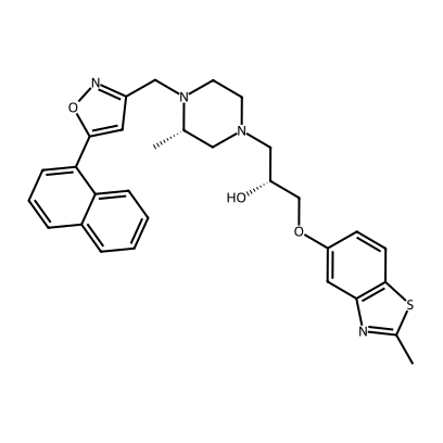 Cc1nc2cc(OC[C@H](O)CN3CCN(Cc4cc(-c5cccc6ccccc56)on4)[C@@H](C)C3)ccc2s1